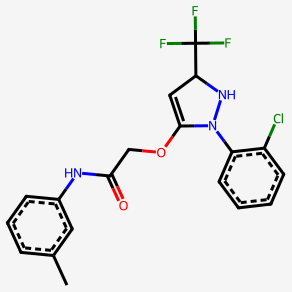 Cc1cccc(NC(=O)COC2=CC(C(F)(F)F)NN2c2ccccc2Cl)c1